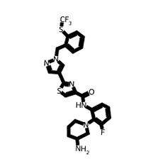 NC1CCCN(c2c(F)cccc2NC(=O)c2csc(-c3cnn(Cc4ccccc4SC(F)(F)F)c3)n2)C1